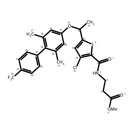 COC(=O)CCNC(=O)c1sc(C(C)Oc2cc(C)c(-c3ccc(C(F)(F)F)cc3)c(C)c2)cc1Cl